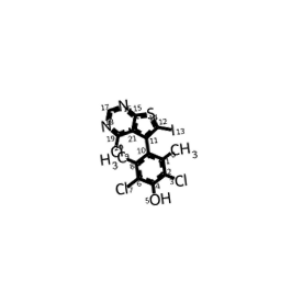 Cc1c(Cl)c(O)c(Cl)c(C)c1-c1c(I)sc2ncnc(Cl)c12